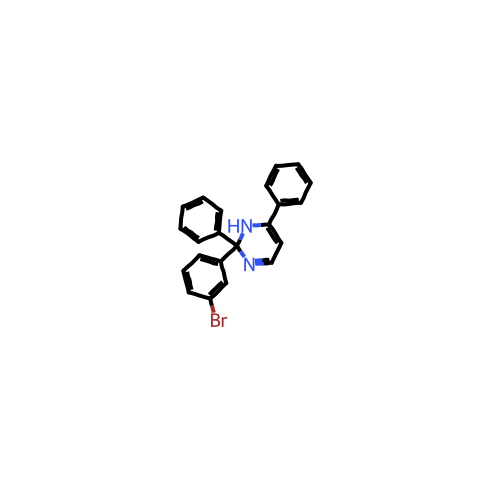 Brc1cccc(C2(c3ccccc3)N=CC=C(c3ccccc3)N2)c1